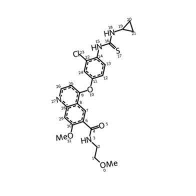 COCCNC(=O)c1cc2c(Oc3ccc(NC(=S)NC4CC4)c(Cl)c3)ccnc2cc1OC